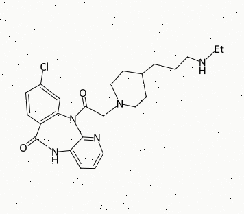 CCNCCCC1CCN(CC(=O)N2c3cc(Cl)ccc3C(=O)Nc3cccnc32)CC1